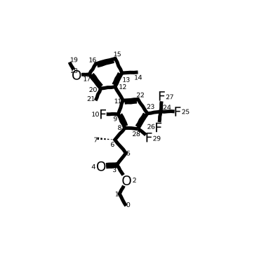 CCOC(=O)C[C@H](C)c1c(F)c(-c2c(C)ccc(OC)c2C)cc(C(F)(F)F)c1F